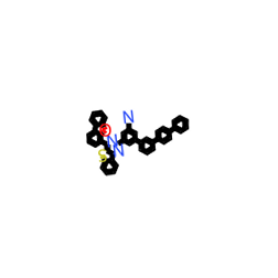 N#Cc1cc(-c2cccc(-c3ccc(-c4ccccc4)cc3)c2)cc(-c2nc(-c3cccc4c3oc3ccccc34)c3sc4ccccc4c3n2)c1